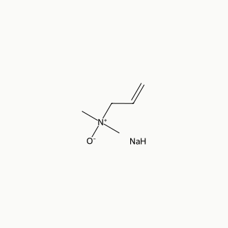 C=CC[N+](C)(C)[O-].[NaH]